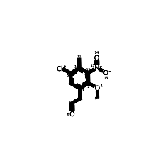 COc1c(CC=O)cc(Cl)c(C)c1[N+](=O)[O-]